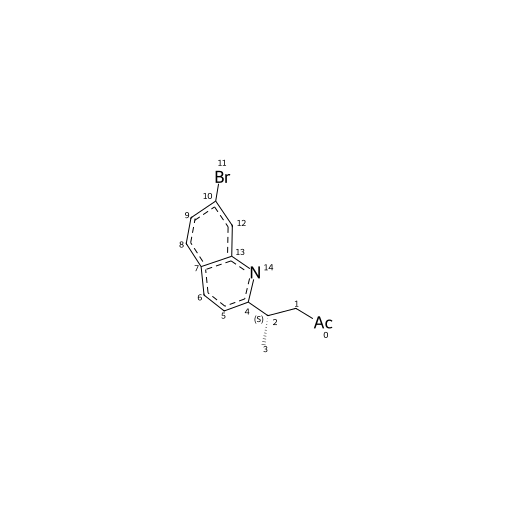 CC(=O)C[C@H](C)c1ccc2ccc(Br)cc2n1